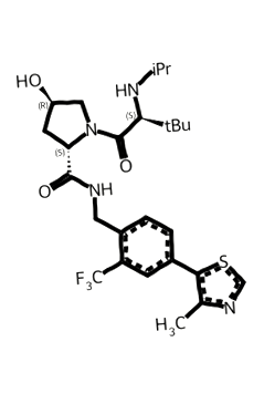 Cc1ncsc1-c1ccc(CNC(=O)[C@@H]2C[C@@H](O)CN2C(=O)[C@@H](NC(C)C)C(C)(C)C)c(C(F)(F)F)c1